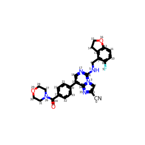 N#Cc1cn2c(NCc3c(F)ccc4c3CCO4)ncc(-c3ccc(C(=O)N4CCOCC4)cc3)c2n1